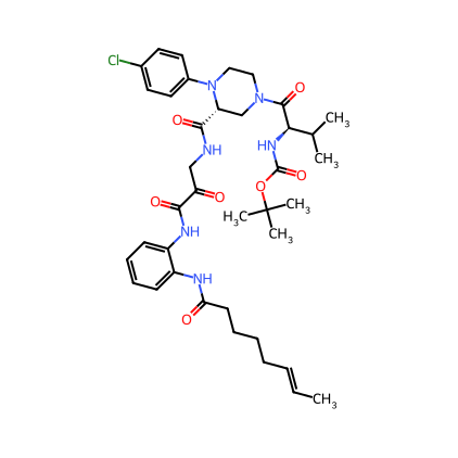 C/C=C/CCCCC(=O)Nc1ccccc1NC(=O)C(=O)CNC(=O)[C@H]1CN(C(=O)[C@H](NC(=O)OC(C)(C)C)C(C)C)CCN1c1ccc(Cl)cc1